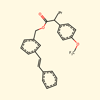 CC(C)C(C(=O)OCc1cccc(C=Cc2ccccc2)c1)c1ccc(OC(F)(F)F)cc1